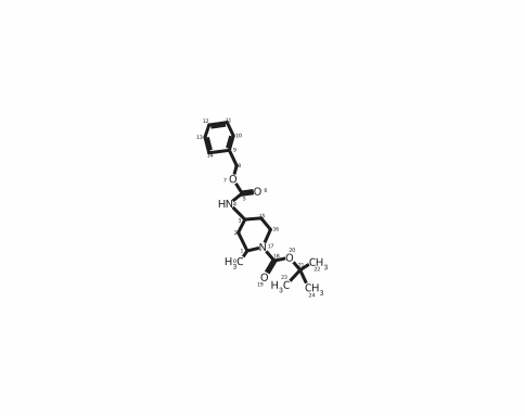 CC1CC(NC(=O)OCc2ccccc2)CCN1C(=O)OC(C)(C)C